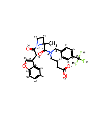 CC1(C(=O)N(CCCC(=O)O)Cc2ccc(C(F)(F)F)cc2)CCN1C(=O)Cc1coc2ccccc12